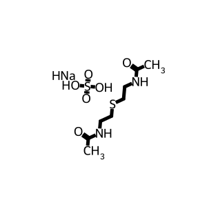 CC(=O)NCCSCCNC(C)=O.O=S(=O)(O)O.[NaH]